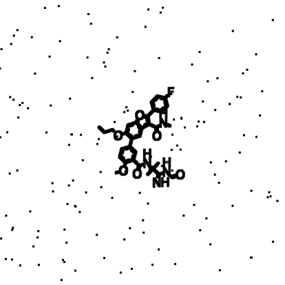 CCCOc1cc2oc(-c3ccc(F)cc3)c(C(=O)NC)c2cc1-c1ccc(OC)c(C(=O)NC(C)(C)C(=N)NC=O)c1